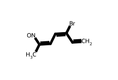 C=C/C(Br)=C\C=C(\C)N=O